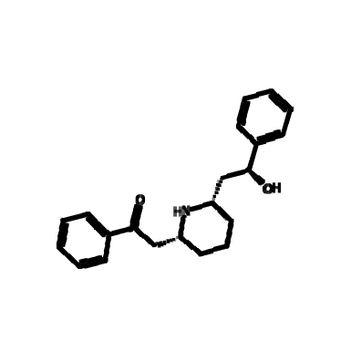 O=C(C[C@H]1CCC[C@@H](C[C@H](O)c2ccccc2)N1)c1ccccc1